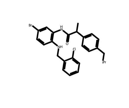 CC(C)Cc1ccc(C(C)C(=O)Nc2cc(Br)ccc2NCc2ccccc2Cl)cc1